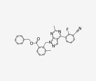 Cc1nc(-c2cccc(C#N)c2F)c2cnn(Cc3c(C)cccc3C(=O)OCc3ccccc3)c2n1